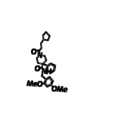 COc1ccc(CNC(=O)C2(c3ccccc3)CCN(C(=O)CCC3CCCC3)CC2)c(OC)c1